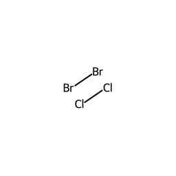 BrBr.ClCl